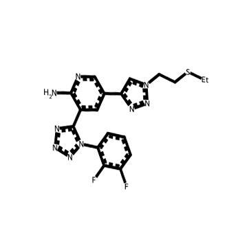 CCSCCn1cc(-c2cnc(N)c(-c3nnnn3-c3cccc(F)c3F)c2)nn1